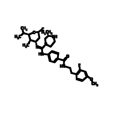 COc1ccc(CCNC(=O)c2ccc(N/C(=N/[C@H]3C[C@H](C)C[C@H](C(C)C)[C@@H]3C)N3CCN[C@@H](C)C3)cc2)c(F)c1